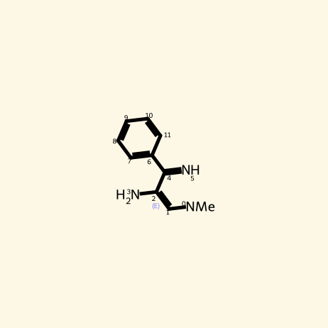 CN/C=C(/N)C(=N)c1ccccc1